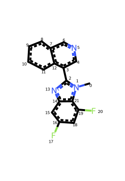 Cn1c(-c2cncc3ccccc23)nc2cc(F)cc(F)c21